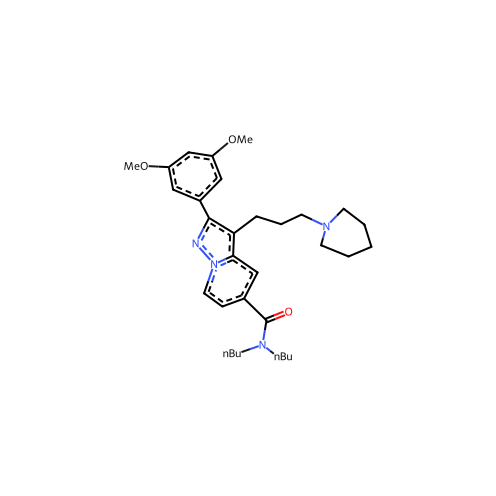 CCCCN(CCCC)C(=O)c1ccn2nc(-c3cc(OC)cc(OC)c3)c(CCCN3CCCCC3)c2c1